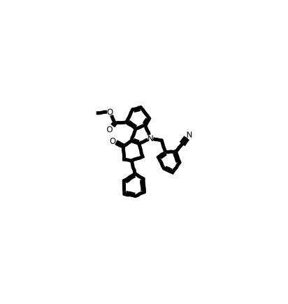 COC(=O)c1cccc2c1c1c(n2Cc2ccccc2C#N)CC(c2ccccc2)CC1=O